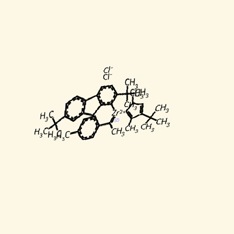 CC1=[C](/[Zr+2](=[C](\C)c2ccc(C)cc2)[c]2c(C(C)(C)C)ccc3c2Cc2cc(C(C)(C)C)ccc2-3)C(C)C=C1C(C)(C)C.[Cl-].[Cl-]